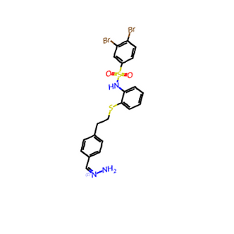 N/N=C\c1ccc(CCSc2ccccc2NS(=O)(=O)c2ccc(Br)c(Br)c2)cc1